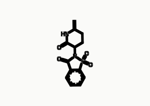 C=C1CCC(N2C(=O)c3ccccc3S2(=O)=O)C(=O)N1